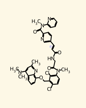 Cc1cc(N(C)C)c2cccc(OCc3c(Cl)ccc(N(C)C(=O)CNC(=O)/C=C/c4ccc(C(=O)N(C)c5ccccn5)nc4)c3Cl)c2n1